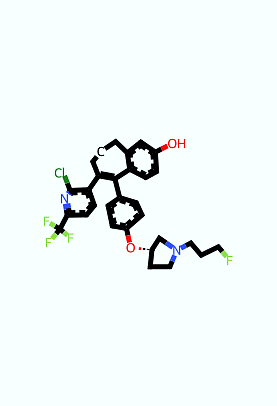 Oc1ccc2c(c1)CCCC(c1ccc(C(F)(F)F)nc1Cl)=C2c1ccc(O[C@H]2CCN(CCCF)C2)cc1